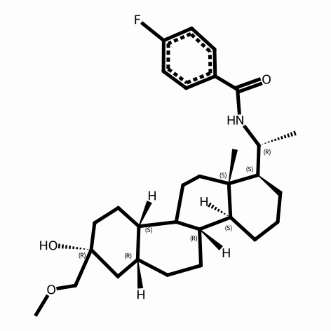 COC[C@@]1(O)CC[C@@H]2C3CC[C@]4(C)[C@@H]([C@@H](C)NC(=O)c5ccc(F)cc5)CCC[C@H]4[C@@H]3CC[C@@H]2C1